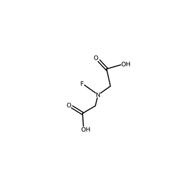 O=C(O)CN(F)CC(=O)O